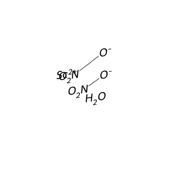 O.O=[N+]([O-])[O-].O=[N+]([O-])[O-].[Sc+2]